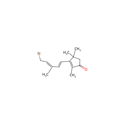 CC(C=CC1=C(C)C(=O)CC1(C)C)=CCBr